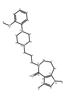 COc1ccccc1N1CCN(CCCN2CCCc3c(c(C)cn3C)C2=O)CC1